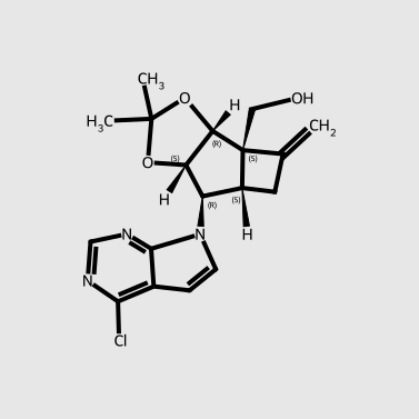 C=C1C[C@@H]2[C@@H](n3ccc4c(Cl)ncnc43)[C@@H]3OC(C)(C)O[C@@H]3[C@]12CO